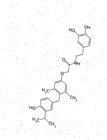 Cc1cc(OCC(=O)NCCc2ccc(O)c(O)c2)cc(C)c1Cc1ccc(O)c(C(C)C)c1